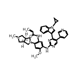 C=CC(=O)Nc1cc(Nc2ncc(-c3cccnc3)c(-c3cn(C4CC4)c4ccccc34)n2)c(OC)cc1N1C[C@H]2CN(C)C[C@H]2C1